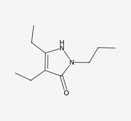 CCCn1[nH]c(CC)c(CC)c1=O